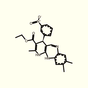 CCOC(=O)C1=C(C)NC2=C(C=Nc3cc(C)c(C)cc3N2)[C@@H]1c1cccc([N+](=O)[O-])c1